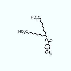 CN1CCC(C(=O)OCC(CCCCCCCC(=O)O)CCCCCCCC(=O)O)CC1